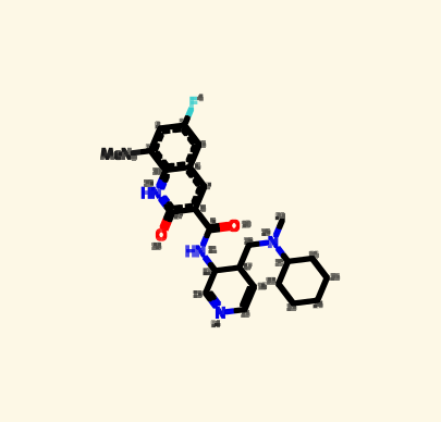 CNc1cc(F)cc2cc(C(=O)NC3C=NC=CC3CN(C)C3CCCCC3)c(=O)[nH]c12